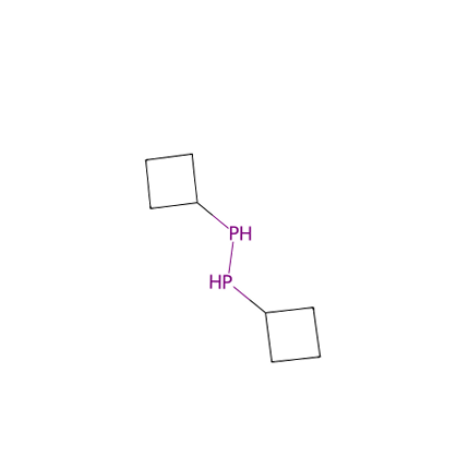 C1CC(PPC2CCC2)C1